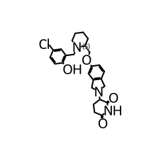 O=C1CCC(N2Cc3ccc(OC[C@@H]4CCCCN4Cc4cc(Cl)ccc4O)cc3C2)C(=O)N1